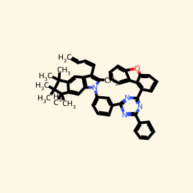 C=C/C=C\c1c(C)n(-c2cccc(-c3nc(-c4ccccc4)nc(-c4cccc5oc6ccccc6c45)n3)c2)c2cc3c(cc12)C(C)(C)C(C)(C)C3(C)C